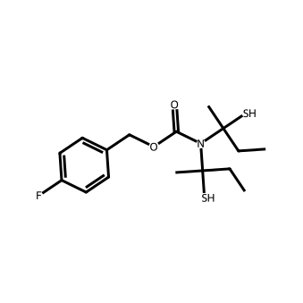 CCC(C)(S)N(C(=O)OCc1ccc(F)cc1)C(C)(S)CC